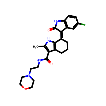 Cc1[nH]c2c(c1C(=O)NCCN1CCOCC1)CCC/C2=C1/C(=O)Nc2ccc(F)cc21